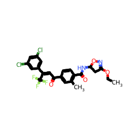 CCOC1=NOC(NC(=O)c2ccc(C(=O)C=C(c3cc(Cl)cc(Cl)c3)C(F)(F)F)cc2C)C1